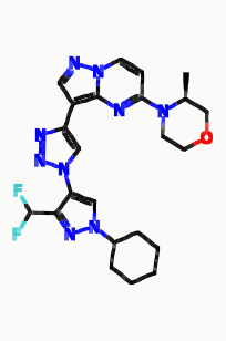 C[C@H]1COCCN1c1ccn2ncc(-c3cn(-c4cn(C5CCCCC5)nc4C(F)F)nn3)c2n1